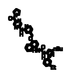 CCCCc1cc(NC(=O)Nc2ccc(OCc3ccnc(Nc4cnc(C(=O)N5CCCC5)cn4)c3)c3ccccc23)n(-c2cccc(CC)c2)n1